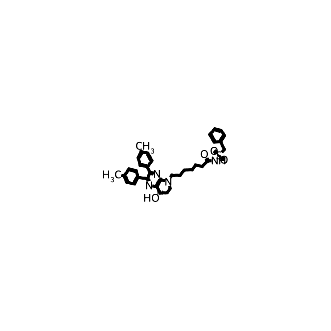 Cc1ccc(-c2nc3c(nc2-c2ccc(C)cc2)N(CCCCCCC(=O)NS(=O)(=O)Cc2ccccc2)CC[C@@H]3O)cc1